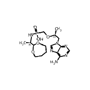 C[C@@H](Cn1cnc2c(N)ncnc21)OCP(=O)(O)N[C@H](C)C1OCCCCO1